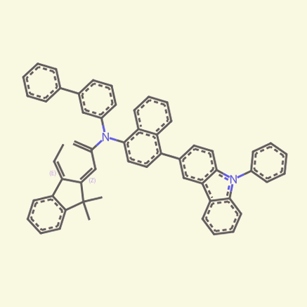 C=C(/C=C1\C(=C/C)c2ccccc2C1(C)C)N(c1cccc(-c2ccccc2)c1)c1ccc(-c2ccc3c(c2)c2ccccc2n3-c2ccccc2)c2ccccc12